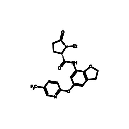 CCN1C(=O)CC[C@H]1C(=O)Nc1cc(Oc2ccc(C(F)(F)F)cn2)cc2c1OCC2